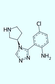 Nc1ccc(Cl)cc1-c1nncn1[C@@H]1CCNC1